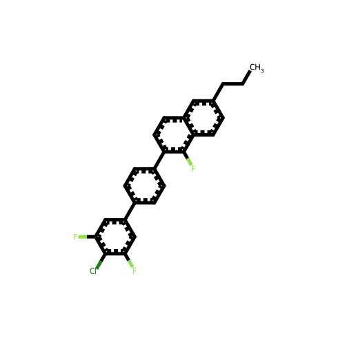 CCCc1ccc2c(F)c(-c3ccc(-c4cc(F)c(Cl)c(F)c4)cc3)ccc2c1